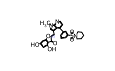 Cn1cc(/C=C2\Oc3cc(O)cc(O)c3C2=O)c2c(-c3cccc(S(=O)(=O)N4CCCCC4)c3)ccnc21